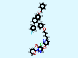 O=c1c(Cl)c(Oc2ccc(CCCCOc3ccc([C@@H]4c5ccc(OCc6ccccc6)cc5CC[C@@H]4c4ccc(F)cc4)cc3)nc2)cnn1C1CCCCO1